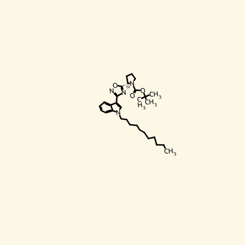 CCCCCCCCCCCn1cc(-c2noc([C@@H]3CCCN3C(=O)OC(C)(C)C)n2)c2ccccc21